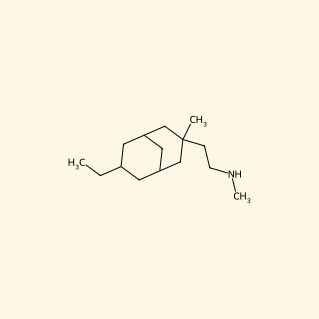 CCC1CC2CC(C1)CC(C)(CCNC)C2